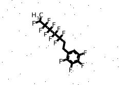 CC(F)C(F)(F)C(F)(F)C(F)(F)C(F)(F)CCc1[c]c(F)c(F)c(F)c1F